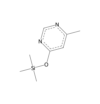 Cc1cc(O[Si](C)(C)C)ncn1